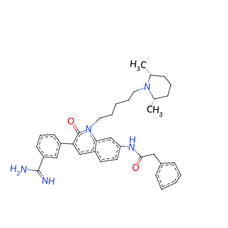 C[C@@H]1CCC[C@H](C)N1CCCCCn1c(=O)c(-c2cccc(C(=N)N)c2)cc2ccc(NC(=O)Cc3ccccc3)cc21